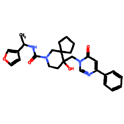 CC(NC(=O)N1CCC(O)(Cn2cnc(-c3ccccc3)cc2=O)C2(CCCC2)C1)c1ccoc1